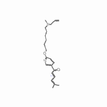 C=CCN(C)CCCCCCOc1ccc(C(=O)/C=C/C=C(C)C)cn1